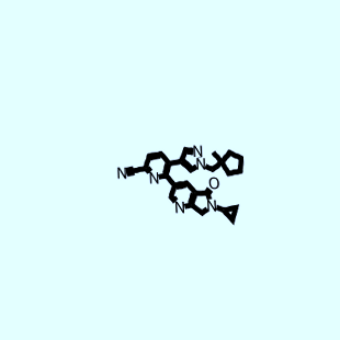 CC1(Cn2cc(-c3ccc(C#N)nc3-c3cnc4c(c3)C(=O)N(C3CC3)C4)cn2)CCCC1